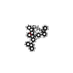 CC1(C)c2ccccc2-c2ccc(N(c3ccc(-c4cccc5c4sc4ccccc45)cc3)c3ccc(-c4cc5ccccc5c5ccccc45)cc3-c3ccccc3)cc21